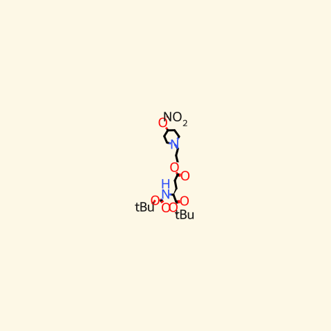 CC(C)(C)OC(=O)N[C@@H](CCC(=O)OCCCN1CCC(O[N+](=O)[O-])CC1)C(=O)OC(C)(C)C